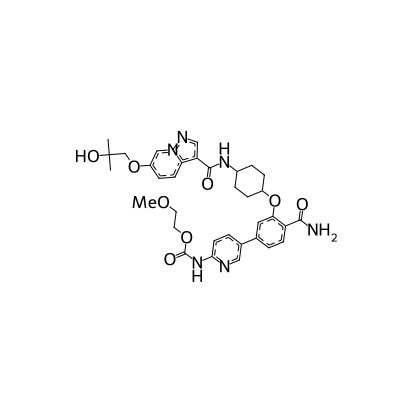 COCCOC(=O)Nc1ccc(-c2ccc(C(N)=O)c(OC3CCC(NC(=O)c4cnn5cc(OCC(C)(C)O)ccc45)CC3)c2)cn1